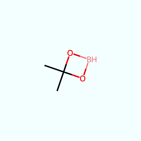 CC1(C)OBO1